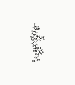 O=C(O)NCC(=O)N1CCC[C@H]1C1NC=C(c2ccc([C@@H]3CC[C@H](c4ccc(C5=CNCN5)cc4)N3c3ccc(C4CC4)cc3)cc2)N1